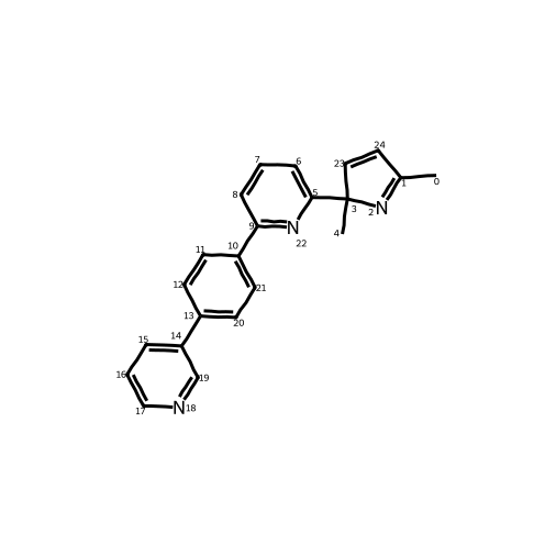 CC1=NC(C)(c2cccc(-c3ccc(-c4cccnc4)cc3)n2)C=C1